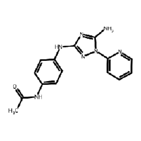 CC(=O)Nc1ccc(Nc2nc(N)n(-c3ccccn3)n2)cc1